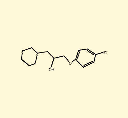 CC(C)c1ccc(OCC(O)CC2CCCCC2)cc1